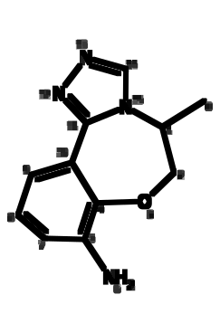 CC1COc2c(N)cccc2-c2nncn21